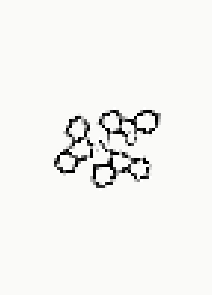 c1ccc2c(c1)cc(N(c1cc3ccccc3c3ccccc13)c1cccc3c1oc1ccccc13)c1ccccc12